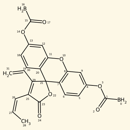 BC(=O)Oc1ccc2c(c1)Oc1cc(OC(B)=O)ccc1C21OC(=O)C(/C=C\C)=C1C=C